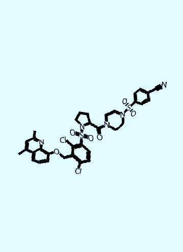 Cc1cc(C)c2cccc(OCc3c(Cl)ccc(S(=O)(=O)N4CCCC4C(=O)N4CCN(S(=O)(=O)c5ccc(C#N)cc5)CC4)c3Cl)c2n1